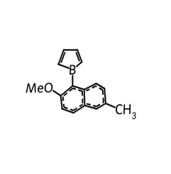 COc1ccc2cc(C)ccc2c1B1C=CC=C1